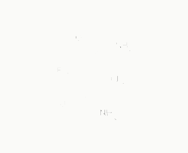 NC(=O)C(C(N)=O)(C(F)(F)F)C(F)(F)F